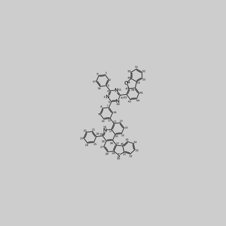 c1ccc(-c2nc(-c3cccc(-c4cccc5c4nc(-c4ccccc4)c4ccc6sc7ccccc7c6c45)c3)nc(-c3cccc4c3oc3ccccc34)n2)cc1